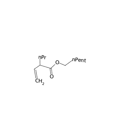 C=CC(CCC)C(=O)OCCCCCC